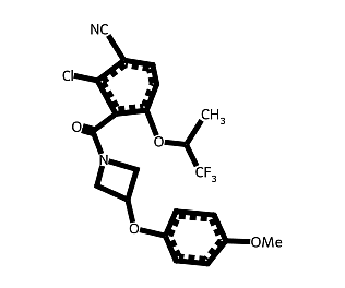 COc1ccc(OC2CN(C(=O)c3c(OC(C)C(F)(F)F)ccc(C#N)c3Cl)C2)cc1